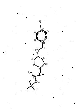 CC(C)(C)OC(=O)N[C@H]1CC[C@H](OCc2ccc(F)cc2)CC1